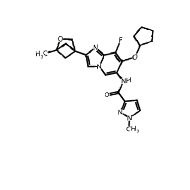 Cn1ccc(C(=O)Nc2cn3cc(C45COC(C)(C4)C5)nc3c(F)c2OC2CCCC2)n1